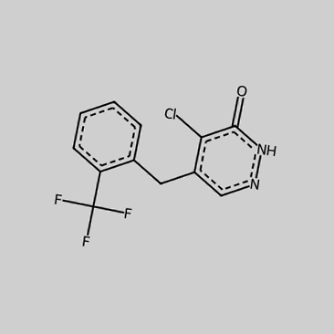 O=c1[nH]ncc(Cc2ccccc2C(F)(F)F)c1Cl